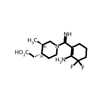 C[C@H]1CN(C(=N)C2=C(N)C(F)(F)CCC2)CC[C@@H]1CC(=O)O